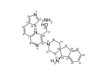 Nc1ncc(/C=C\c2cnc(N3CCC4(CC3)Cc3ccccc3[C@H]4N)c(CO)n2)s1